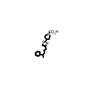 CC(CC=Cc1csc(C2CCN(C(=O)O)CC2)n1)c1ccccc1